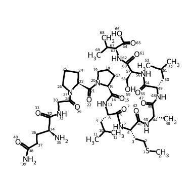 CSCC[C@H](NC(=O)[C@H](CC(C)C)NC(=O)[C@@H]1CCCN1C(=O)[C@@H]1CCCN1C(=O)CNC(=O)[C@@H](N)CCC(N)=O)C(=O)N[C@@H](C)C(=O)N[C@@H](CC(C)C)C(=O)N[C@@H](CO)C(=O)N[C@H](C(=O)O)C(C)C